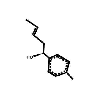 C/C=C/C[C@H](O)c1ccc(C)cc1